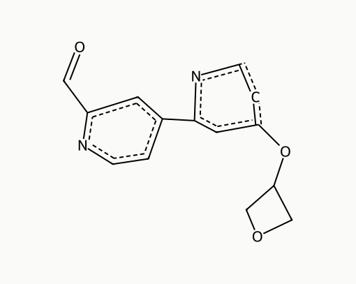 O=Cc1cc(-c2cc(OC3COC3)ccn2)ccn1